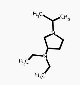 CCN(CC)C1CCN(C(C)C)C1